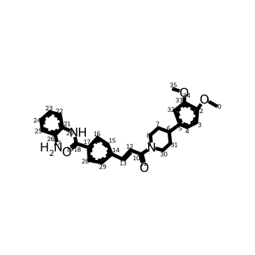 COc1ccc(C2CCN(C(=O)/C=C/c3ccc(C(=O)Nc4ccccc4N)cc3)CC2)cc1OC